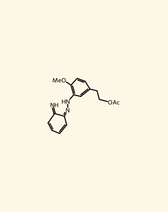 COc1ccc(CCOC(C)=O)cc1N/N=C1/C=CC=CC1=N